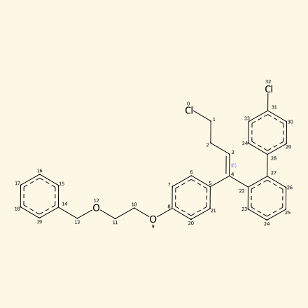 ClCC/C=C(\c1ccc(OCCOCc2ccccc2)cc1)c1ccccc1-c1ccc(Cl)cc1